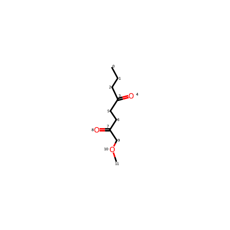 CCCC(=O)CCC(=O)COC